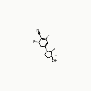 C[C@@H]1N(C2=CC(F)=C(C#N)C(F)C2)CC[C@]1(C)O